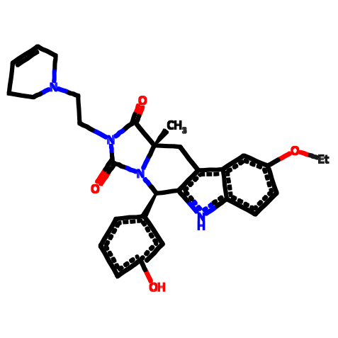 CCOc1ccc2[nH]c3c(c2c1)C[C@@]1(C)C(=O)N(CCN2CC=CCC2)C(=O)N1[C@@H]3c1cccc(O)c1